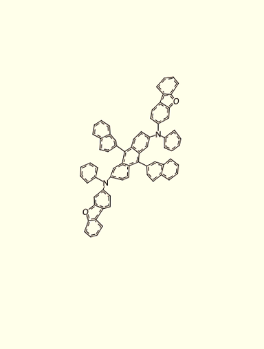 c1ccc(N(c2ccc3c(c2)oc2ccccc23)c2ccc3c(-c4ccc5ccccc5c4)c4cc(N(c5ccccc5)c5ccc6c(c5)oc5ccccc56)ccc4c(-c4ccc5ccccc5c4)c3c2)cc1